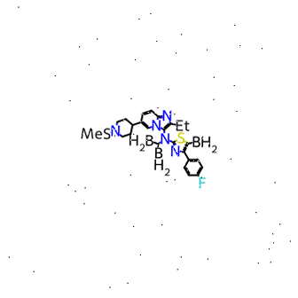 Bc1sc(N(c2c(CC)nc3ccc(C4CCN(SC)CC4)cn23)C(B)B)nc1-c1ccc(F)cc1